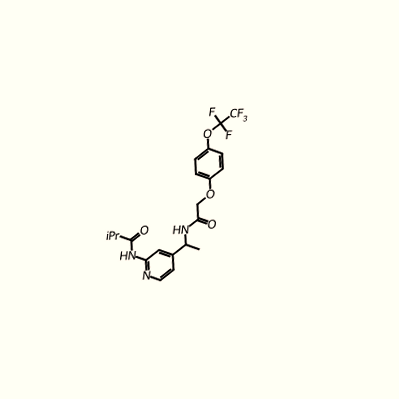 CC(C)C(=O)Nc1cc(C(C)NC(=O)COc2ccc(OC(F)(F)C(F)(F)F)cc2)ccn1